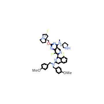 COc1ccc(CN(Cc2ccc(OC)cc2)c2cc3cccc(F)c3c(-c3ncc4c(N(C)[C@@H]5CCNC5)nc(OC[C@@]56CCCN5C[C@H](F)C6)nc4c3F)n2)cc1